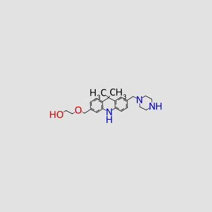 CC1(C)c2ccc(COCCO)cc2Nc2ccc(CN3CCNCC3)cc21